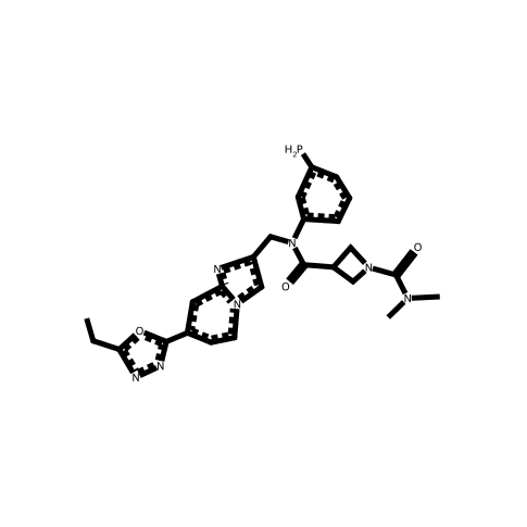 CCc1nnc(-c2ccn3cc(CN(C(=O)C4CN(C(=O)N(C)C)C4)c4cccc(P)c4)nc3c2)o1